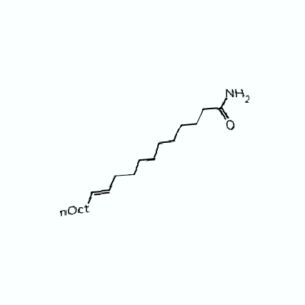 CCCCCCCC/C=C/CCCCCCCCCC(N)=O